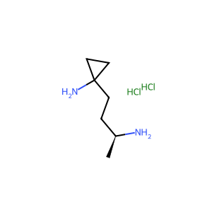 C[C@H](N)CCC1(N)CC1.Cl.Cl